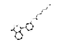 CC(C)(C)NCCCCC(=O)Nc1cccc(-c2n[nH]c(=O)c3ccccc23)c1.Cl